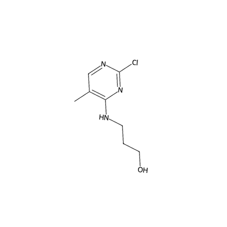 Cc1cnc(Cl)nc1NCCCO